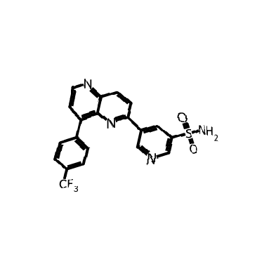 NS(=O)(=O)c1cncc(-c2ccc3nccc(-c4ccc(C(F)(F)F)cc4)c3n2)c1